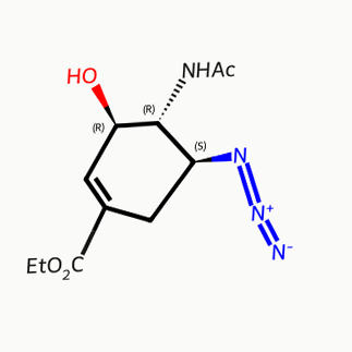 CCOC(=O)C1=C[C@@H](O)[C@H](NC(C)=O)[C@@H](N=[N+]=[N-])C1